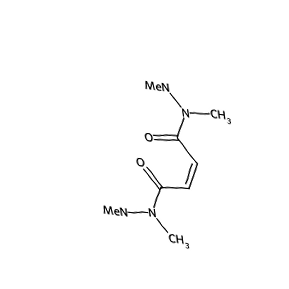 CNN(C)C(=O)/C=C\C(=O)N(C)NC